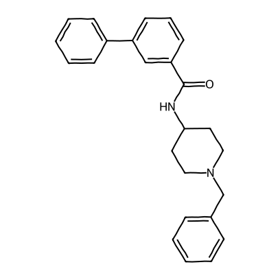 O=C(NC1CCN(Cc2ccccc2)CC1)c1cccc(-c2ccccc2)c1